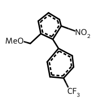 COCc1cccc([N+](=O)[O-])c1-c1ccc(C(F)(F)F)cc1